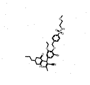 CCCC1CC(=O)C2=C(C1)NC(C)=C(C#N)C2c1cc(Br)c(OCc2ccc(S(=O)(=O)NCCOC)cc2)c(OCC)c1